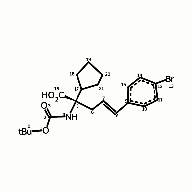 CC(C)(C)OC(=O)N[C@](CC=Cc1ccc(Br)cc1)(C(=O)O)C1CCCC1